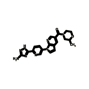 CC1CN(C(=O)c2cnc3c(ccn3-c3ccc(-c4nc(N)n[nH]4)nc3)c2)CCO1